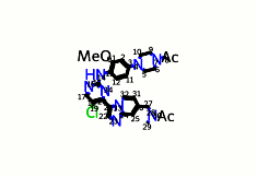 COc1cc(N2CCN(C(C)=O)CC2)ccc1Nc1ncc(Cl)c(-c2cnc3cc(CN(C)C(C)=O)ccn23)n1